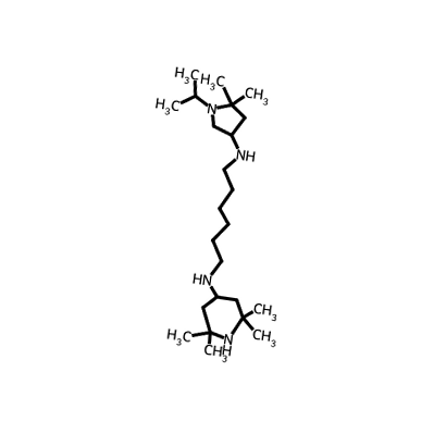 CC(C)N1CC(NCCCCCCNC2CC(C)(C)NC(C)(C)C2)CC1(C)C